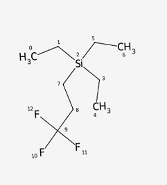 CC[Si](CC)(CC)CCC(F)(F)F